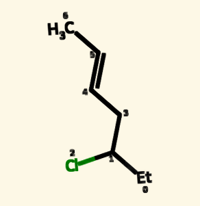 [CH2]CC(Cl)C/C=C/C